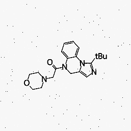 CC(C)(C)c1ncc2n1-c1ccccc1N(C(=O)CN1CCOCC1)C2